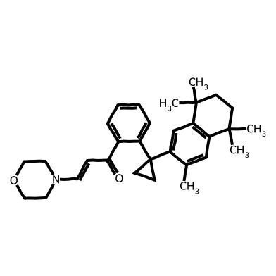 Cc1cc2c(cc1C1(c3ccccc3C(=O)C=CN3CCOCC3)CC1)C(C)(C)CCC2(C)C